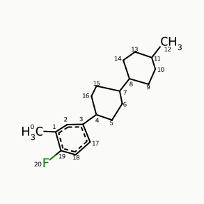 Cc1cc(C2CCC(C3CCC(C)CC3)CC2)ccc1F